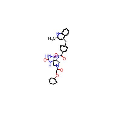 Cc1cc(Cc2ccc(C(=O)NC3CN(C(=O)COc4ccccc4)CC34NC(=O)NC4=O)cc2)c2ccccc2n1